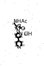 CC(=O)NCC1CN(c2ccc(-c3ccncc3)cn2)C(=O)O1.Cl